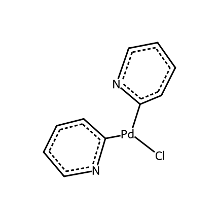 [Cl][Pd]([c]1ccccn1)[c]1ccccn1